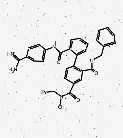 CC(C)CN(C)C(=O)c1ccc(-c2ccccc2C(=O)Nc2ccc(C(=N)N)cc2)c(C(=O)OCc2ccccc2)c1